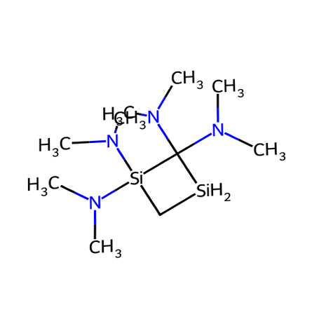 CN(C)C1(N(C)C)[SiH2]C[Si]1(N(C)C)N(C)C